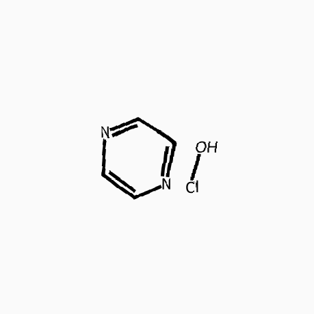 OCl.c1cnccn1